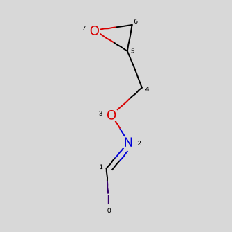 IC=NOCC1CO1